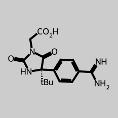 CC(C)(C)[C@]1(c2ccc(C(=N)N)cc2)NC(=O)N(CC(=O)O)C1=O